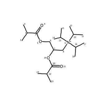 CC(C)C(=O)OCC(C[N+](C(C)C)(C(C)C)C(C)C)OC(=O)C(C)C